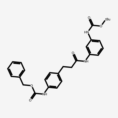 CC(C)(C)OC(=O)Nc1cccc(NC(=O)CCc2ccc(NC(=O)OCc3ccccc3)cc2)c1